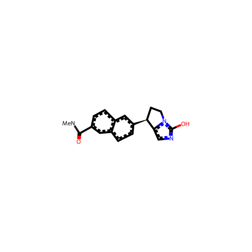 CNC(=O)c1ccc2cc([C@H]3CCn4c3cnc4O)ccc2c1